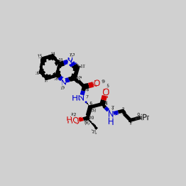 CC(C)C[CH]NC(=O)[C@@H](NC(=O)c1cnc2ccccc2n1)[C@@H](C)O